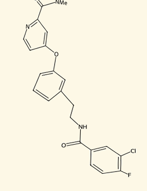 CNC(=O)c1cc(Oc2cccc(CCNC(=O)c3ccc(F)c(Cl)c3)c2)ccn1